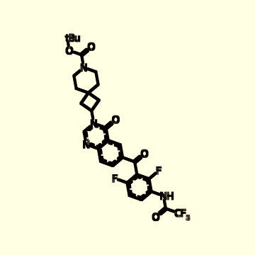 CC(C)(C)OC(=O)N1CCC2(CC1)CC(n1cnc3ccc(C(=O)c4c(F)ccc(NC(=O)C(F)(F)F)c4F)cc3c1=O)C2